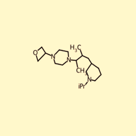 CC(CC1CCCN(C(C)C)C1)C(C)N1CCN(C2COC2)CC1